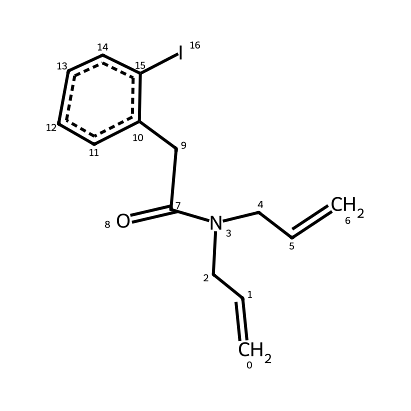 C=CCN(CC=C)C(=O)Cc1ccccc1I